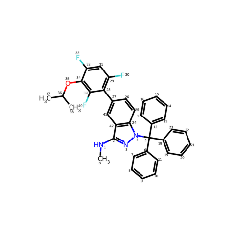 CNc1nn(C(c2ccccc2)(c2ccccc2)c2ccccc2)c2ccc(-c3c(F)cc(F)c(OC(C)C)c3F)cc12